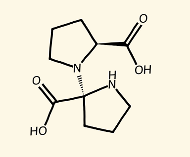 O=C(O)[C@@H]1CCCN1[C@@]1(C(=O)O)CCCN1